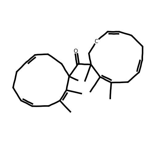 CC1=C(C)C(C)(C(=O)C2(C)CCC=CCCC=CCC(C)=C2C)CCC=CCCC=CC1